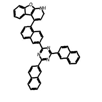 C1=C(c2cccc3cc(-c4nc(-c5ccc6ccccc6c5)nc(-c5ccc6ccccc6c5)n4)ccc23)c2c(oc3ccccc23)NC1